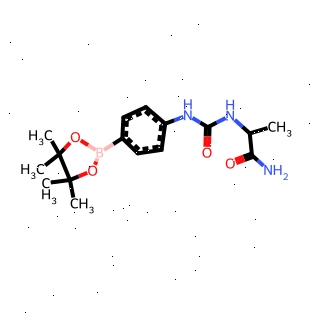 CC(NC(=O)Nc1ccc(B2OC(C)(C)C(C)(C)O2)cc1)C(N)=O